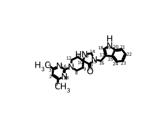 Cc1cc(C)nc(N2CCC3(CC2)NCN(Cc2c[nH]c4ccccc24)C3=O)n1